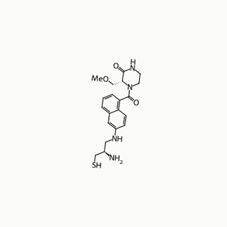 COC[C@@H]1C(=O)NCCN1C(=O)c1cccc2cc(NC[C@@H](N)CS)ccc12